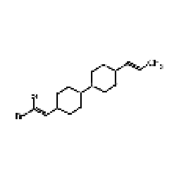 C/C=C/C1CCC(C2CCC(C=C(Br)Br)CC2)CC1